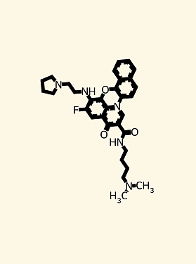 CN(C)CCCCNC(=O)c1cn2c3c(c(NCCN4CCCC4)c(F)cc3c1=O)Oc1c-2ccc2ccccc12